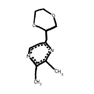 Cc1ncc(C2COCCO2)nc1C